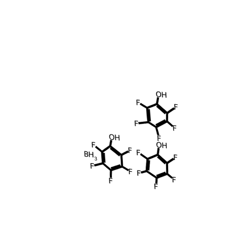 B.Oc1c(F)c(F)c(F)c(F)c1F.Oc1c(F)c(F)c(F)c(F)c1F.Oc1c(F)c(F)c(F)c(F)c1F